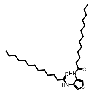 CCCCCCCCCCCCC(=O)Nc1cscc1NC(=O)CCCCCCCCCCCC